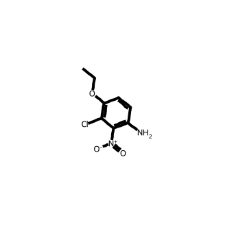 CCOc1ccc(N)c([N+](=O)[O-])c1Cl